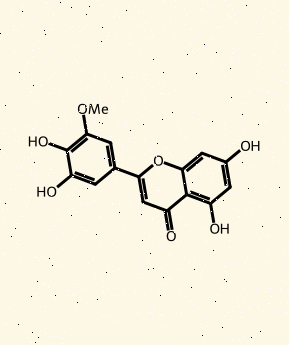 COc1cc(-c2cc(=O)c3c(O)cc(O)cc3o2)cc(O)c1O